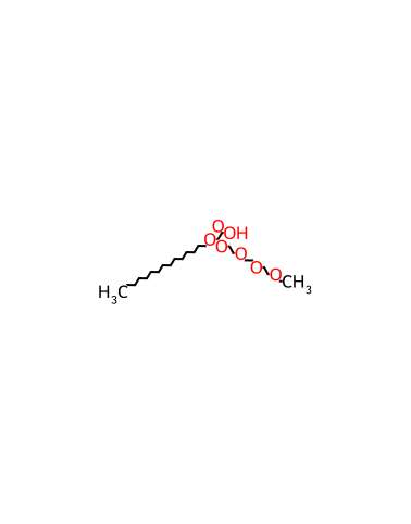 CCCCCCCCCCCCCCCOC(OCCOCCOCCOCC)C(=O)O